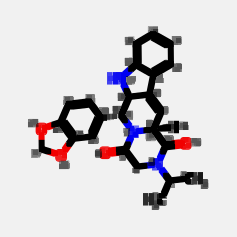 CC(C)N1CC(=O)N2[C@H](C=C3c4ccccc4NC3[C@H]2c2ccc3c(c2)OCO3)C1=O